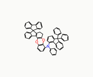 c1ccc(N(c2cccc3c2OC2=C(O3)C3=C(CC2)C2(c4ccccc43)c3ccccc3-c3ccccc32)c2cccc3c2-c2ccccc2C3(c2ccccc2)c2ccccc2)cc1